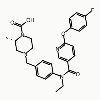 CCN(C(=O)c1ccc(Oc2ccc(F)cc2)nc1)c1ccc(CN2CCN(C(=O)O)[C@@H](C)C2)cc1